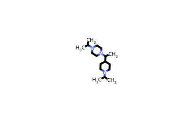 CC(C)N1CCC(C(C)N2CCN(C(C)C)CC2)CC1